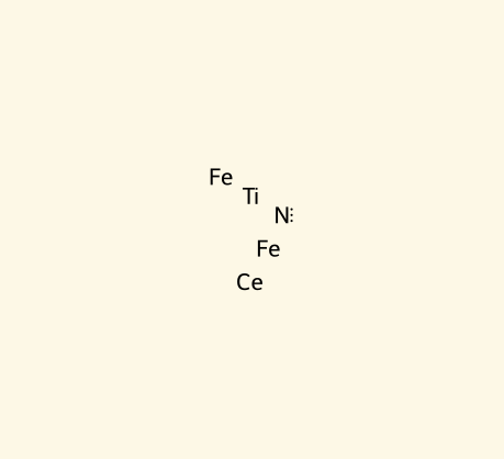 [Ce].[Fe].[Fe].[N].[Ti]